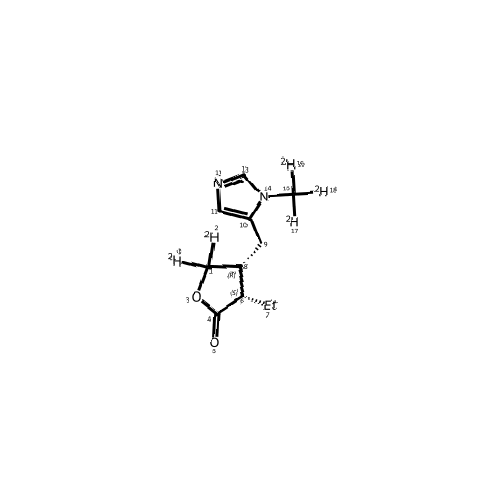 [2H]C1([2H])OC(=O)[C@@H](CC)[C@H]1Cc1cncn1C([2H])([2H])[2H]